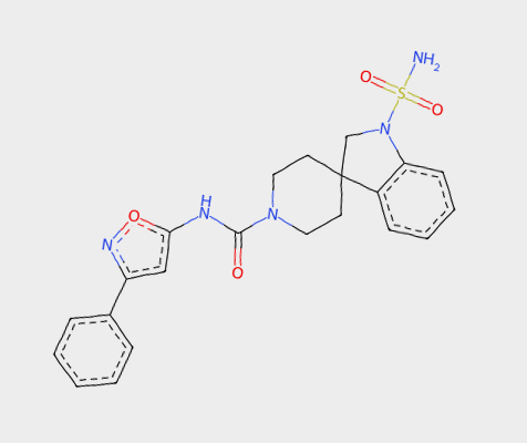 NS(=O)(=O)N1CC2(CCN(C(=O)Nc3cc(-c4ccccc4)no3)CC2)c2ccccc21